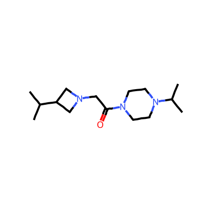 CC(C)C1CN(CC(=O)N2CCN(C(C)C)CC2)C1